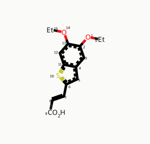 CCOc1cc2cc(/C=C/C(=O)O)sc2cc1OCC